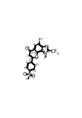 Cn1c(C(F)(F)F)nc2c(F)cc3c(=O)cc(-c4ccc(S(C)(=O)=O)cc4)oc3c21